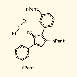 CCCCCC1=C(c2cccc(CCCCC)c2)[N+](=[N-])C(c2cccc(CCCCC)c2)=C1.C[CH2][Ni][CH2]C